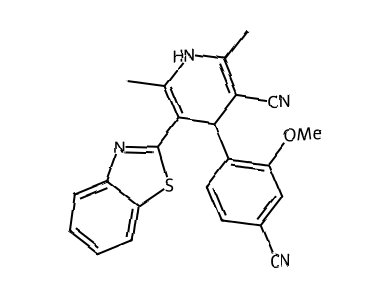 COc1cc(C#N)ccc1C1C(C#N)=C(C)NC(C)=C1c1nc2ccccc2s1